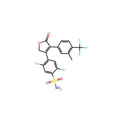 Cc1cc(C2=C(c3cc(F)c(S(N)(=O)=O)cc3F)COC2=O)ccc1C(F)(F)F